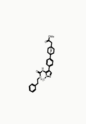 COC(=O)CC12CCC(c3ccc(-c4cnn(C)c4NC(=O)OCCc4ccccc4)cc3)(CC1)CO2